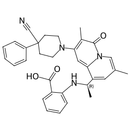 Cc1cc([C@@H](C)Nc2ccccc2C(=O)O)c2cc(N3CCC(C#N)(c4ccccc4)CC3)c(C)c(=O)n2c1